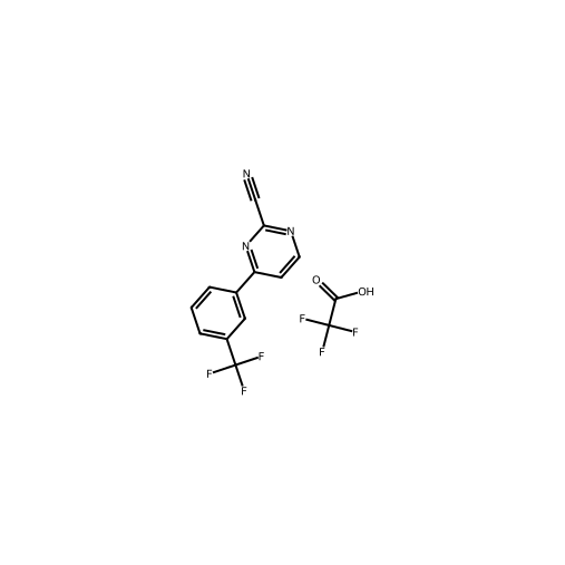 N#Cc1nccc(-c2cccc(C(F)(F)F)c2)n1.O=C(O)C(F)(F)F